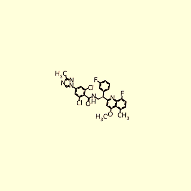 COc1cc([C@@H](CNC(=O)c2c(Cl)cc(-n3cnc(C)n3)cc2Cl)c2cccc(F)c2)nc2c(F)ccc(C)c12